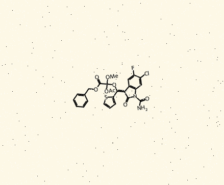 COC(OC(C)=O)(OC(=C1C(=O)N(C(N)=O)c2cc(Cl)c(F)cc21)c1cccs1)C(=O)OCc1ccccc1